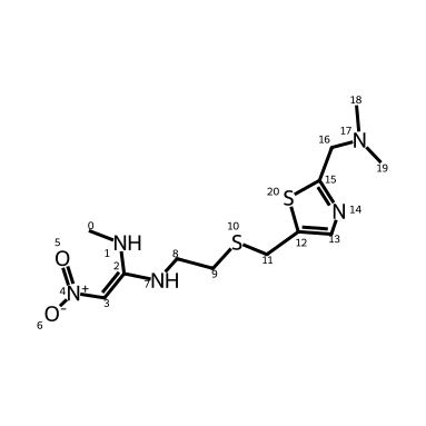 CNC(=C[N+](=O)[O-])NCCSCc1cnc(CN(C)C)s1